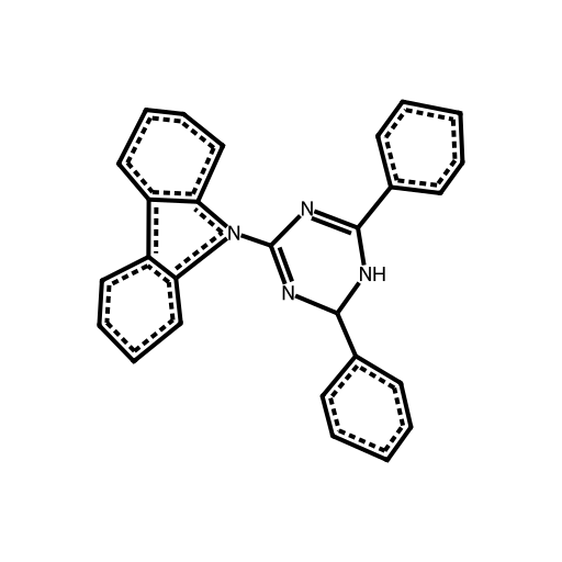 c1ccc(C2=NC(n3c4ccccc4c4ccccc43)=NC(c3ccccc3)N2)cc1